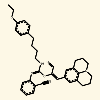 CCOc1ccc(CCCCN/C(=N/c2ccccc2C#N)O/C(C=O)=C/c2cc3c4c(c2)CCCN4CCC3)cc1